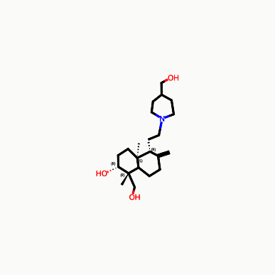 C=C1CCC2[C@](C)(CO)[C@H](O)CC[C@@]2(C)[C@@H]1CCN1CCC(CO)CC1